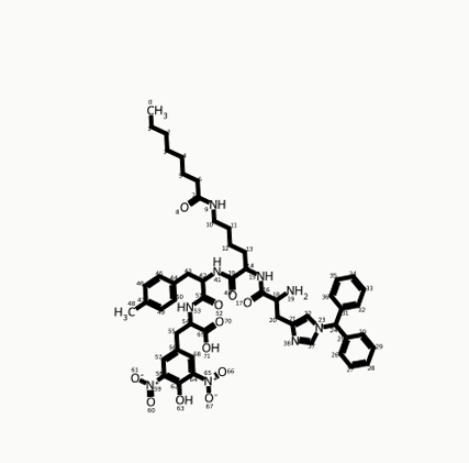 CCCCCCCC(=O)NCCCCC(NC(=O)C(N)Cc1cn(C(c2ccccc2)c2ccccc2)cn1)C(=O)NC(Cc1ccc(C)cc1)C(=O)NC(Cc1cc([N+](=O)[O-])c(O)c([N+](=O)[O-])c1)C(=O)O